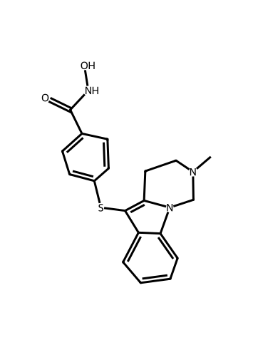 CN1CCc2c(Sc3ccc(C(=O)NO)cc3)c3ccccc3n2C1